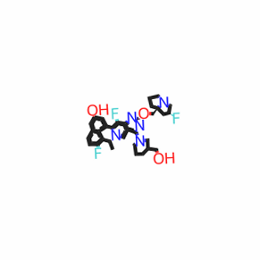 CCc1c(F)ccc2cc(O)cc(-c3ncc4c(N5CCCC(CO)C5)nc(OC[C@@]56CCCN5C[C@H](F)C6)nc4c3F)c12